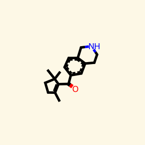 CC1=C(C(=O)c2ccc3c(c2)CCNC3)C(C)(C)CC1